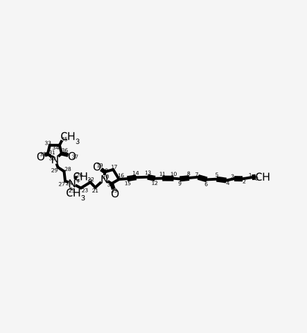 C#CC#CC#CC#CC#CC#CC#CC#CC1CC(=O)N(CCC[N+](C)(C)CCCN2C(=O)CC(C)C2=O)C1=O